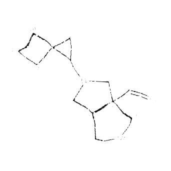 O=CC12CNCC1CN(C1CC13CCC3)C2